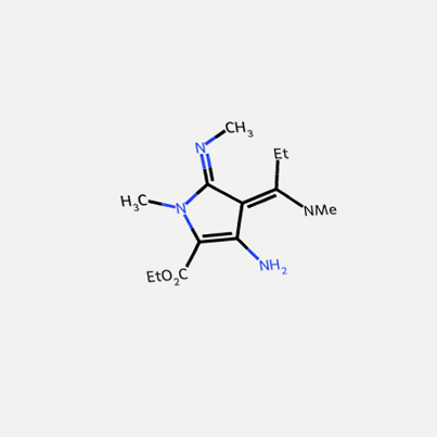 CCOC(=O)C1=C(N)C(=C(/CC)NC)/C(=N\C)N1C